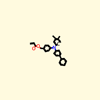 C=CC(=O)OCc1ccc(N(c2ccc(-c3ccccc3)cc2)c2ccc(C)c(C)c2)cc1